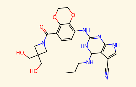 CCCNC1NC(Nc2ccc(C(=O)N3CC(CO)(CO)C3)c3c2OCCO3)=Nc2[nH]cc(C#N)c21